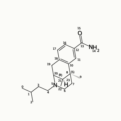 CC(C)CCN1CC[C@]2(C)c3cc(C(N)=O)ccc3CC1[C@@H]2C